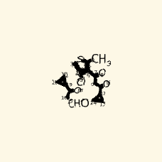 Cc1scc(Cl)c1C(=O)CC(=O)C1CC1.O=CCC(=O)C1CC1